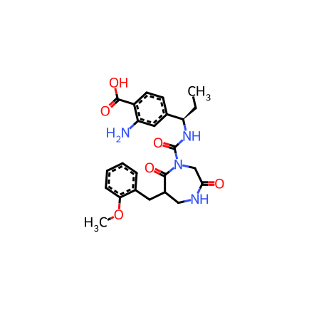 CC[C@@H](NC(=O)N1CC(=O)NCC(Cc2ccccc2OC)C1=O)c1ccc(C(=O)O)c(N)c1